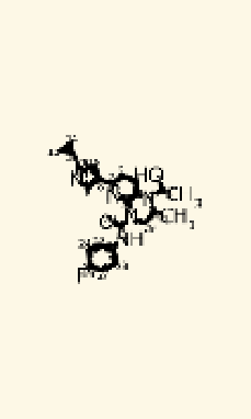 CC(O)N1c2ccc(-c3cnn(C4CC4)c3)nc2N(C(=O)Nc2ccc(F)cc2)C[C@@H]1C